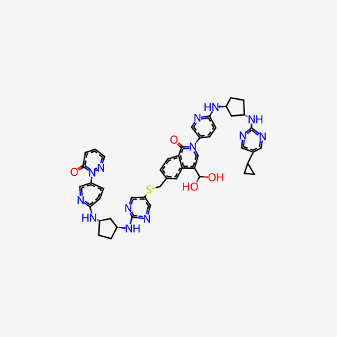 O=c1c2ccc(CSc3cnc(N[C@H]4CC[C@H](Nc5ccc(-n6ncccc6=O)cn5)C4)nc3)cc2c(C(O)O)cn1-c1ccc(N[C@H]2CC[C@H](Nc3ncc(C4CC4)cn3)C2)nc1